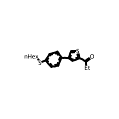 CCCCCCSc1ccc(-c2csc(C(=O)CC)c2)cc1